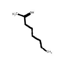 CCCCCCC(C)=N